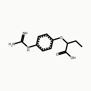 CCC(Oc1ccc(NC(=N)N)cc1)C(=O)O